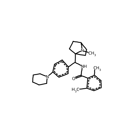 Cc1cccc(C)c1C(=O)NC(c1ccc(N2CCCCC2)cc1)C12CCC(CC1)N2C